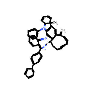 C=C1/C=C\C=C/CCC(CN/C(=C2/C=CC=CC2=N)c2ccc(-c3ccccc3)cc2)c2cc3c(cc21)C1(C)C=CC=CC1N3c1ccccc1